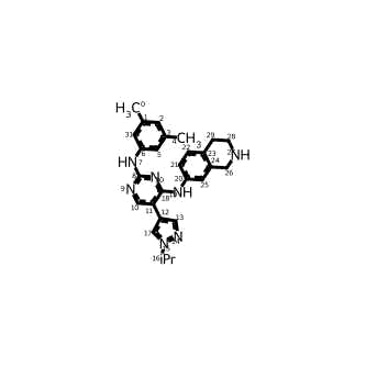 Cc1cc(C)cc(Nc2ncc(-c3cnn(C(C)C)c3)c(Nc3ccc4c(c3)CNCC4)n2)c1